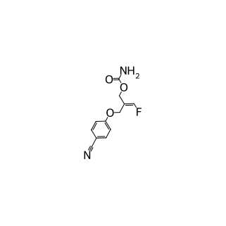 N#Cc1ccc(OC/C(=C\F)COC(N)=O)cc1